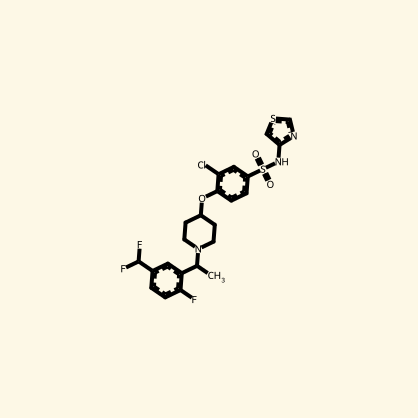 CC(c1cc(C(F)F)ccc1F)N1CCC(Oc2ccc(S(=O)(=O)Nc3cscn3)cc2Cl)CC1